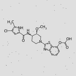 CO[C@H]1CN(c2nc3cccc(OC(=O)O)c3s2)CC[C@H]1NC(=O)c1cc(Cl)c(C)[nH]1